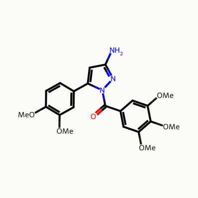 COc1ccc(-c2cc(N)nn2C(=O)c2cc(OC)c(OC)c(OC)c2)cc1OC